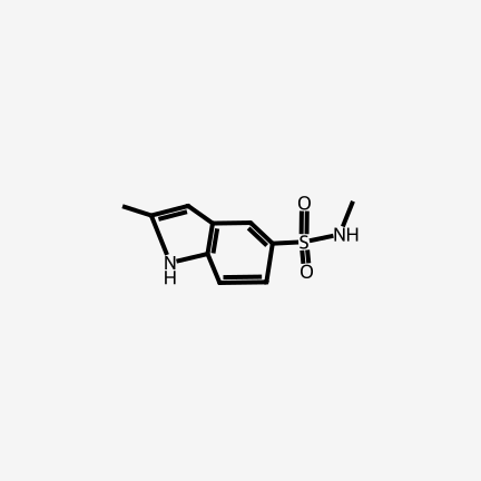 CNS(=O)(=O)c1ccc2[nH]c(C)cc2c1